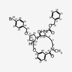 CN1CCC[C@H](NC(=O)OCc2ccccc2)C(=O)N2C[C@@H](OCc3ccc(Br)cc3)C[C@H]2COc2cccc(c2)C1=O